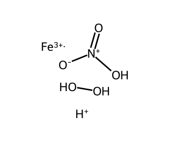 O=[N+]([O-])O.OO.[Fe+3].[H+]